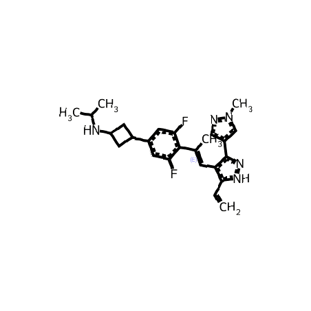 C=Cc1[nH]nc(-c2cnn(C)c2)c1/C=C(\C)c1c(F)cc(C2CC(NC(C)C)C2)cc1F